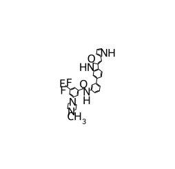 CN1CCN(c2cc(C(=O)Nc3cccc(-c4ccc5c(c4)NC(=O)/C5=C\c4ccc[nH]4)c3)cc(C(F)(F)F)c2)CC1